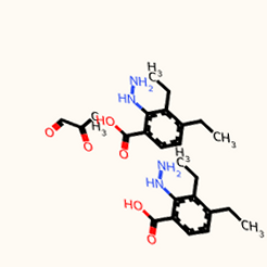 CC(=O)C=O.CCc1ccc(C(=O)O)c(NN)c1CC.CCc1ccc(C(=O)O)c(NN)c1CC